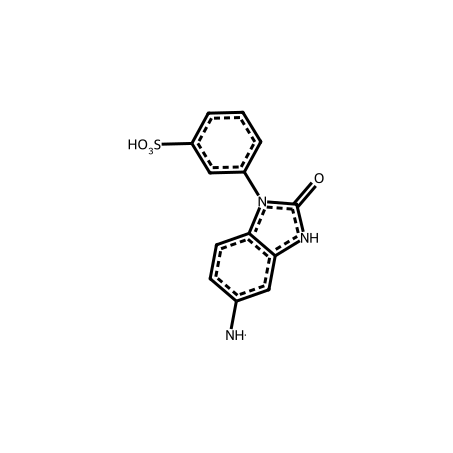 [NH]c1ccc2c(c1)[nH]c(=O)n2-c1cccc(S(=O)(=O)O)c1